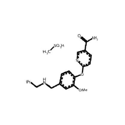 COc1cc(CNCC(C)C)ccc1Oc1ccc(C(N)=O)cn1.CS(=O)(=O)O